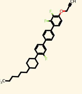 C#CCOc1ccc(-c2ccc(-c3ccc(C4CCC(CCCCCC)CC4)c(F)c3)cc2)c(F)c1F